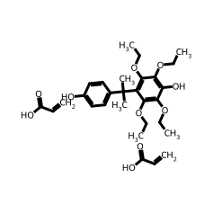 C=CC(=O)O.C=CC(=O)O.CCOc1c(O)c(OCC)c(OCC)c(C(C)(C)c2ccc(O)cc2)c1OCC